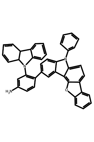 Nc1ccc(-c2ccc3c(c2)c2c4oc5ccccc5c4ccc2n3-c2ccccc2)c(N2c3ccccc3C3C=CC=CC32)c1